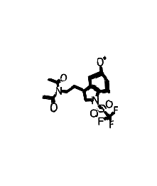 COc1ccc2c(c1)C(CCN(C(C)=O)C(C)=O)CN2S(=O)(=O)C(F)(F)F